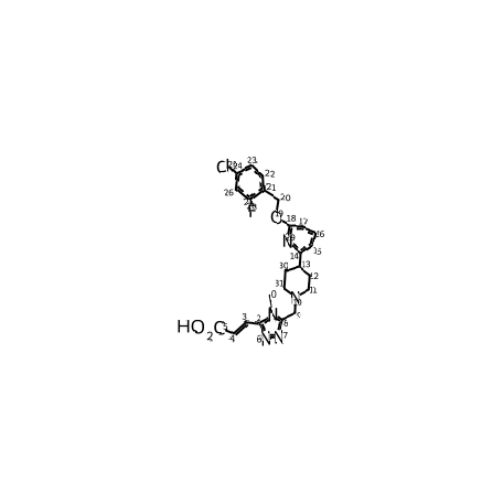 Cn1c(/C=C/C(=O)O)nnc1CN1CCC(c2cccc(OCc3ccc(Cl)cc3F)n2)CC1